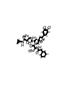 CCC[C@H](NC(=O)[C@@H]1C[C@]2(CC(c3ccc(Cl)c(Cl)c3)=NO2)CN1C(=O)[C@@H](NC(=O)CC1CCCCC1)C(C)(C)C)C(=O)C(=O)NC1CC1